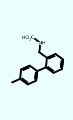 [CH2]c1ccc(-c2ccccc2CNC(=O)O)cc1